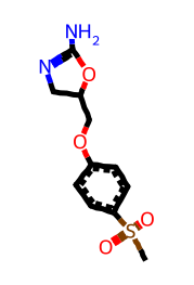 CS(=O)(=O)c1ccc(OCC2CN=C(N)O2)cc1